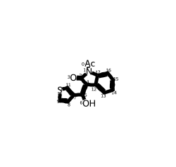 CC(=O)N1C(=O)C(=C(O)c2ccsc2)c2ccccc21